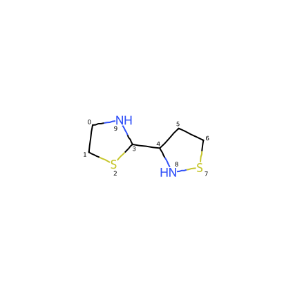 C1CSC(C2CCSN2)N1